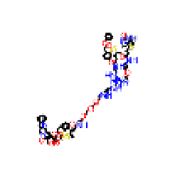 CC[C@@]1(OC(=O)Cc2ccccc2SSC(C)CCC(=O)NCCOCCOCCOCCn2cc(CNc3nc(/N=C\COCCCNC(=O)CC[C@@H]4SC[C@@H]5NC(=O)N[C@@H]54)nc(NCCNC(=O)CCC(C)SSc4ccccc4CC(=O)Oc4ccccc4)n3)nn2)C(=O)OCc2c1cc1n(c2=O)Cc2cc3ccccc3nc2-1